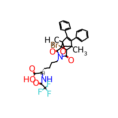 CC12C(=O)C(C)(C(c3ccccc3)=C1c1ccccc1)C1(Br)C(=O)N(CCCC[C@H](NC(=O)C(F)(F)F)C(=O)O)C(=O)C21